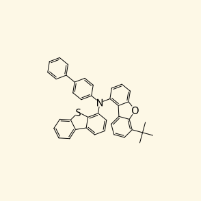 CC(C)(C)c1cccc2c1oc1cccc(N(c3ccc(-c4ccccc4)cc3)c3cccc4c3sc3ccccc34)c12